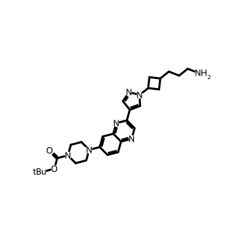 CC(C)(C)OC(=O)N1CCN(c2ccc3ncc(-c4cnn(C5CC(CCCN)C5)c4)nc3c2)CC1